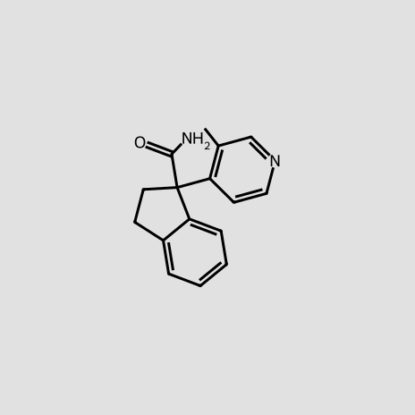 Cc1cnccc1C1(C(N)=O)CCc2ccccc21